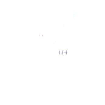 Cc1ccccc1NC(=O)C(C)(C)F